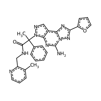 Cc1cccnc1CNC(=O)C(C)(c1ccccc1)n1ncc2c1nc(N)n1nc(-c3ccco3)nc21